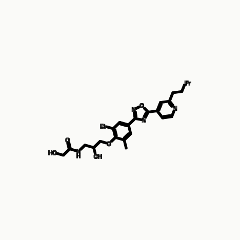 CCc1cc(-c2noc(-c3ccnc(CCC(C)C)c3)n2)cc(C)c1OCC(O)CNC(=O)CO